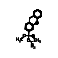 COC(OC)(OC)c1ccc2c(c1)Oc1ccccc1C2